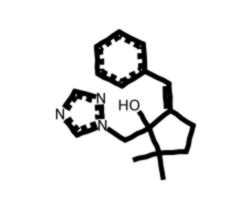 CC1(C)CCC(=Cc2ccccc2)C1(O)Cn1cncn1